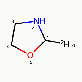 [2H]C1NCCO1